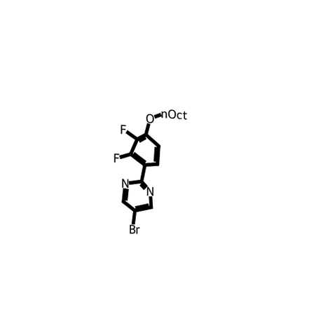 CCCCCCCCOc1ccc(-c2ncc(Br)cn2)c(F)c1F